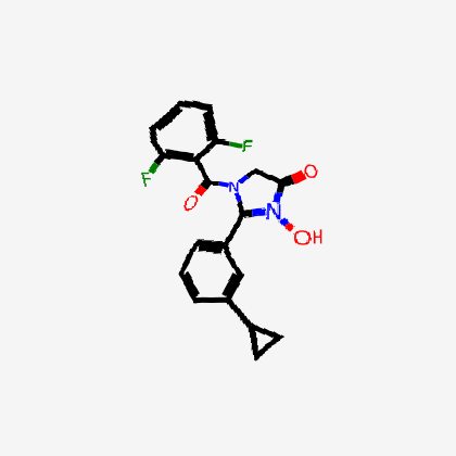 O=C1CN(C(=O)c2c(F)cccc2F)C(c2cccc(C3CC3)c2)N1O